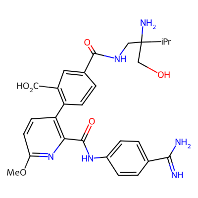 COc1ccc(-c2ccc(C(=O)NCC(N)(CO)C(C)C)cc2C(=O)O)c(C(=O)Nc2ccc(C(=N)N)cc2)n1